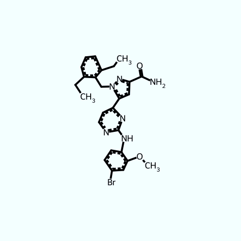 CCc1cccc(CC)c1Cn1nc(C(N)=O)cc1-c1ccnc(Nc2ccc(Br)cc2OC)n1